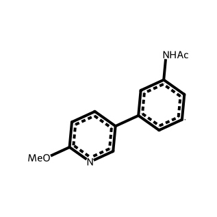 COc1ccc(-c2c[c]cc(NC(C)=O)c2)cn1